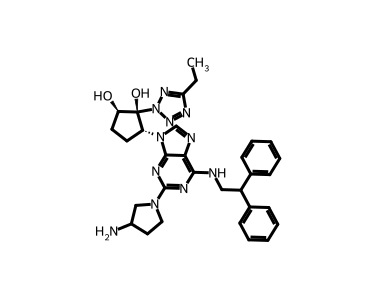 CCc1nnn([C@@]2(O)[C@H](O)CC[C@H]2n2cnc3c(NCC(c4ccccc4)c4ccccc4)nc(N4CCC(N)C4)nc32)n1